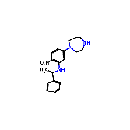 CC(Nc1cc(N2CCCNCC2)ccc1[N+](=O)[O-])c1ccccc1